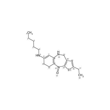 CCCCCNC1=CC2=C(CC1)[N+](=O)c1sc(CC)cc1CN2